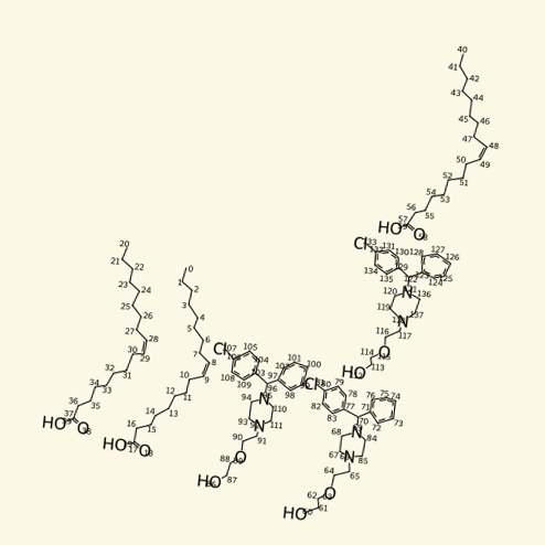 CCCCCCCC/C=C\CCCCCCCC(=O)O.CCCCCCCC/C=C\CCCCCCCC(=O)O.CCCCCCCC/C=C\CCCCCCCC(=O)O.OCCOCCN1CCN(C(c2ccccc2)c2ccc(Cl)cc2)CC1.OCCOCCN1CCN(C(c2ccccc2)c2ccc(Cl)cc2)CC1.OCCOCCN1CCN(C(c2ccccc2)c2ccc(Cl)cc2)CC1